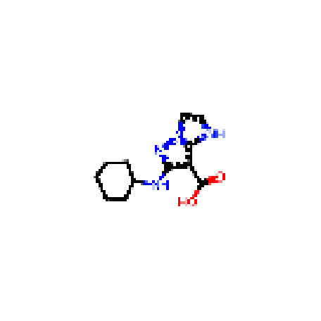 O=C(O)c1c(NC2CCCCC2)nn2cc[nH]c12